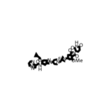 COc1cc(N2CC(F)(CN3CCC(n4cc5cc(NC(=O)c6cnn7cccnc67)c(OCC6CC6)cc5n4)CC3)C2)cc2c1C(=O)N(C1CCC(=O)NC1=O)C2=O